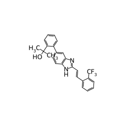 CC(C)(O)c1ccccc1-c1ccc2[nH]c(/C=C/c3ccccc3C(F)(F)F)nc2c1